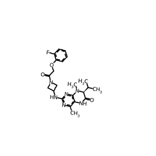 Cc1nc(NC2CN(C(=O)COc3ccccc3F)C2)nc2c1NC(=O)[C@H](C(C)C)N2C